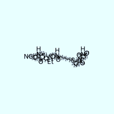 CCc1cc2c(cc1N1CCC(NC(=O)CCCCCCSc3cccc4c3CN(C3CCC(=O)NC3=O)C4=O)CC1)C(C)(C)c1[nH]c3cc(C#N)ccc3c1C2=O